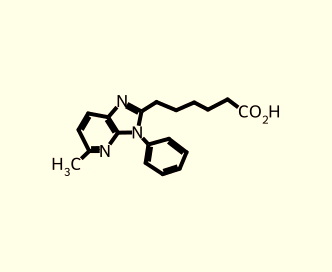 Cc1ccc2nc(CCCCCC(=O)O)n(-c3ccccc3)c2n1